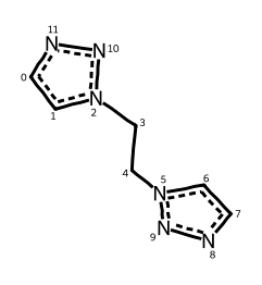 c1cn(CCn2ccnn2)nn1